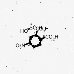 O=C(O)c1ccc([N+](=O)[O-])cc1C(=O)O.O=S(=O)(O)O